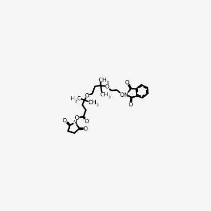 CC(C)(CCOC(C)(C)CCC(=O)ON1C(=O)CCC1=O)OCCON1C(=O)c2ccccc2C1=O